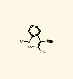 COc1ccccc1C(C#N)=C(C)C